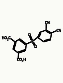 N#Cc1ccc(S(=O)(=O)c2cc(C(=O)O)cc(C(=O)O)c2)cc1C#N